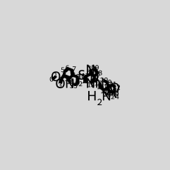 COC(=O)c1cccc2c(Sc3cnc(N4CCC5(CC4)CO[C@@H](C)[C@H]5N)n4ccnc34)ccnc12